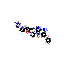 CN1CCN(c2cccc(C(C)(C)/C=C(/C#N)C(=O)N3CCC[C@@H](n4c(=O)n(-c5ccc(Oc6ccccc6)cc5)c5c(N)nccc54)C3)n2)CC1